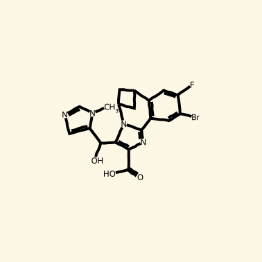 Cn1cncc1C(O)c1c(C(=O)O)nc2n1C1CC(C1)c1cc(F)c(Br)cc1-2